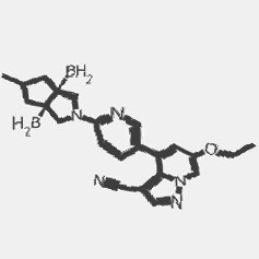 B[C@@]12CC(C)C[C@]1(B)CN(c1ccc(-c3cc(OCC)cn4ncc(C#N)c34)cn1)C2